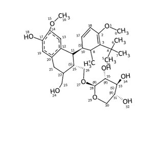 COC1=C(C(C)(C)C)C(C)[C@@H](C2c3cc(OC)c(O)cc3CC(CO)[C@H]2CO[C@@H]2OC[C@@H](O)[C@H](O)[C@H]2O)C=C1